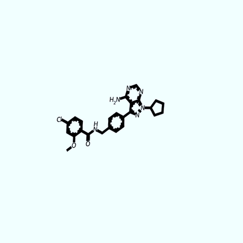 COc1cc(Cl)ccc1C(=O)NCc1ccc(-c2nn(C3CCCC3)c3ncnc(N)c23)cc1